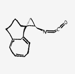 O=C=N[C@@H]1C[C@]12CCc1ccccc12